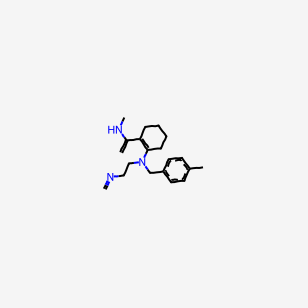 C=NCCN(Cc1ccc(C)cc1)C1=C(C(=C)NC)CCCC1